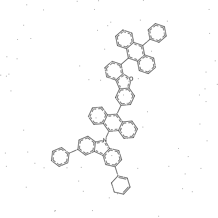 C1=CCCC(c2ccc3c(c2)c2cc(-c4ccccc4)ccc2n3-c2c3ccccc3c(-c3ccc4oc5c(-c6c7ccccc7c(-c7ccccc7)c7ccccc67)cccc5c4c3)c3ccccc23)=C1